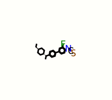 CC[C@H]1CC[C@H](C(C)c2ccc(-c3ccc(N=C=S)c(F)c3)cc2)CC1